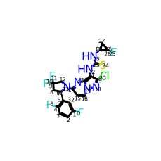 Fc1ccc(F)c([C@H]2CC(F)(F)CN2c2ccn3nc(Cl)c(NC(=S)N[C@H]4C[C@H]4F)c3n2)c1